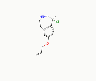 C=CCOc1ccc2c(c1)CCNC[C@@]2(C)Cl